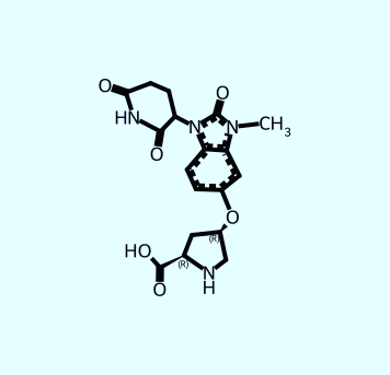 Cn1c(=O)n(C2CCC(=O)NC2=O)c2ccc(O[C@H]3CN[C@@H](C(=O)O)C3)cc21